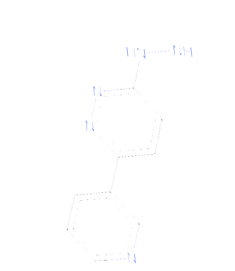 NNc1ccc(-c2cccnc2)nn1